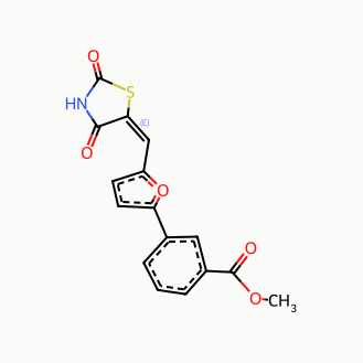 COC(=O)c1cccc(-c2ccc(/C=C3/SC(=O)NC3=O)o2)c1